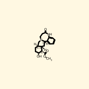 COC(=O)[C@@H]1[C@H]2C[C@H]3c4ccccc4NC(=O)CCN3C[C@@H]2CC[C@@H]1O